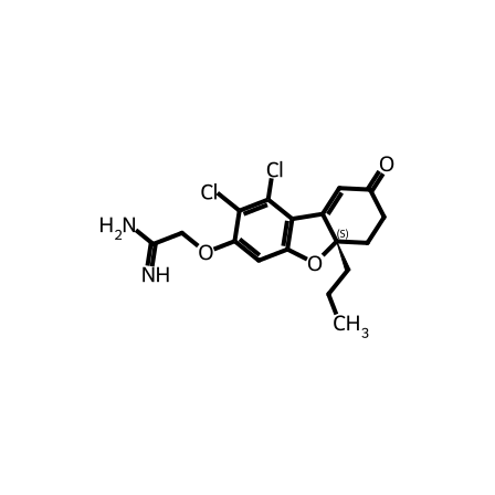 CCC[C@]12CCC(=O)C=C1c1c(cc(OCC(=N)N)c(Cl)c1Cl)O2